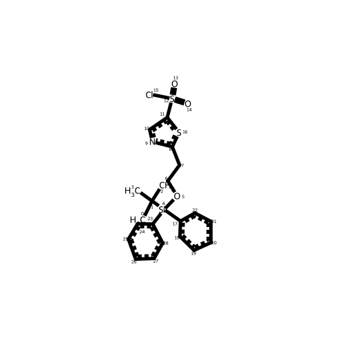 CC(C)(C)[Si](OCCc1ncc(S(=O)(=O)Cl)s1)(c1ccccc1)c1ccccc1